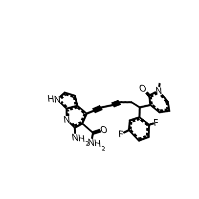 Cn1cccc(C(CC#CC#Cc2c(C(N)=O)c(N)nc3[nH]ccc23)c2cc(F)ccc2F)c1=O